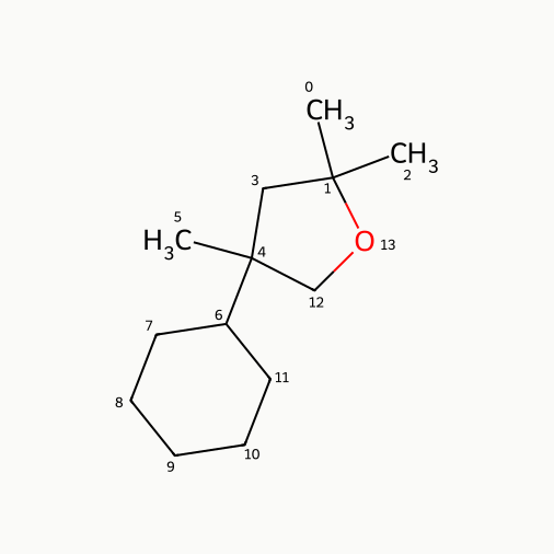 CC1(C)CC(C)(C2CCCCC2)CO1